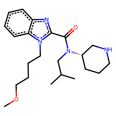 COCCCCn1c(C(=O)N(CC(C)C)[C@H]2CCCNC2)nc2ccccc21